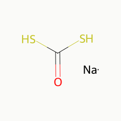 O=C(S)S.[Na]